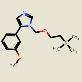 COc1cccc(-c2cncn2COCC[Si](C)(C)C)c1